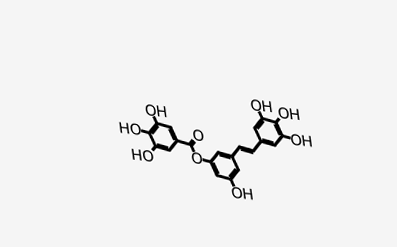 O=C(Oc1cc(O)cc(C=Cc2cc(O)c(O)c(O)c2)c1)c1cc(O)c(O)c(O)c1